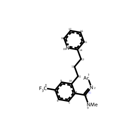 CN/C(=N/C(C)=O)c1ccc(C(F)(F)F)cc1CCCc1ccccn1